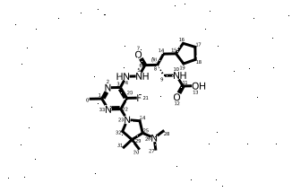 Cc1nc(NNC(=O)[C@@H](CNC(=O)O)CC2CCCC2)c(F)c(N2CC(N(C)C)C(C)(C)C2)n1